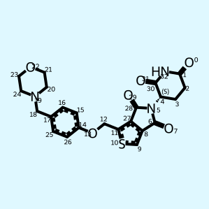 O=C1CC[C@H](N2C(=O)c3csc(COc4ccc(CN5CCOCC5)cc4)c3C2=O)C(=O)N1